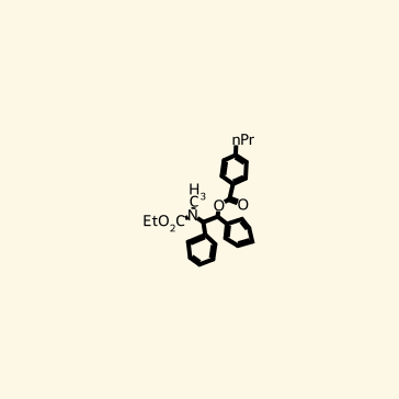 CCCc1ccc(C(=O)OC(c2ccccc2)C(c2ccccc2)N(C)C(=O)OCC)cc1